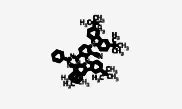 CC(C)(C)c1ccc2c(c1)c1cc(C(C)(C)C)ccc1n2-c1ccc(-c2nc(-c3ccccc3)nc(-c3ccccc3)n2)c(-n2c3ccc(C(C)(C)C)cc3c3cc(C(C)(C)C)ccc32)c1C#N